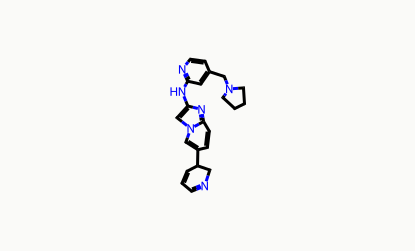 C1=CC(c2ccc3nc(Nc4cc(CN5CCCC5)ccn4)cn3c2)CN=C1